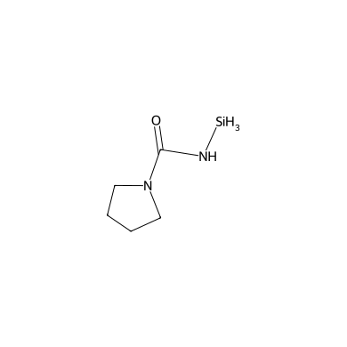 O=C(N[SiH3])N1CCCC1